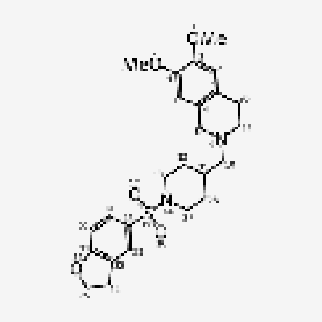 COc1cc2c(cc1OC)CN(CC1CCN(S(=O)(=O)c3ccc4c(c3)CCO4)CC1)CC2